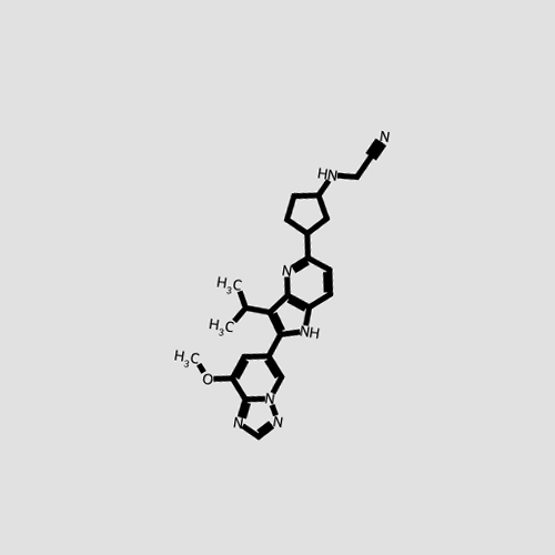 COc1cc(-c2[nH]c3ccc(C4CCC(NCC#N)C4)nc3c2C(C)C)cn2ncnc12